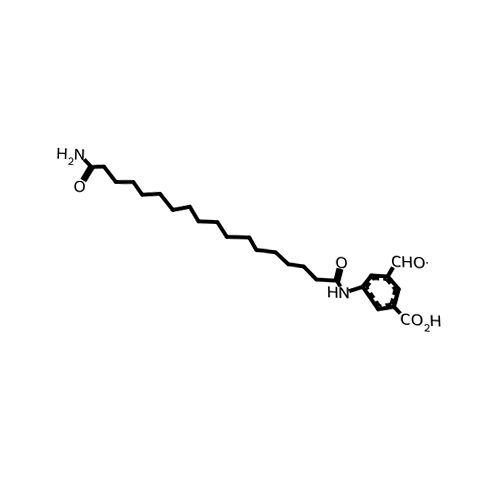 NC(=O)CCCCCCCCCCCCCCCCC(=O)Nc1cc([C]=O)cc(C(=O)O)c1